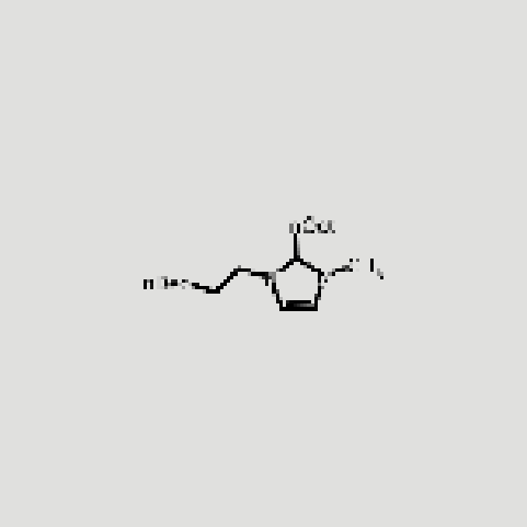 CCCCCCCCCCCCN1C=CN(C)C1CCCCCCCC